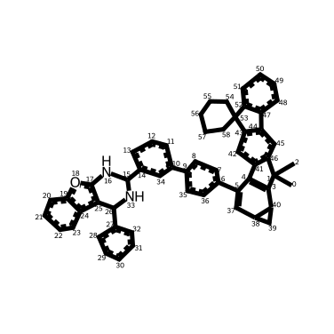 CC1(C)C2=C(C(c3ccc(-c4cccc(C5Nc6oc7ccccc7c6C(c6ccccc6)N5)c4)cc3)=CC3CC23)c2cc3c(cc21)-c1ccccc1C31CCCCC1